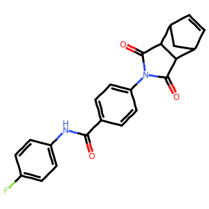 O=C(Nc1ccc(F)cc1)c1ccc(N2C(=O)C3C4C=CC(C4)C3C2=O)cc1